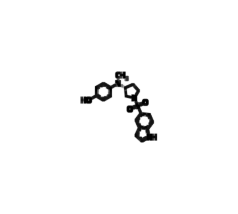 CN(c1ccc(O)cc1)[C@@H]1CCN(S(=O)(=O)c2ccc3[nH]ccc3c2)C1